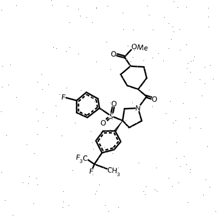 COC(=O)C1CCC(C(=O)N2CC[C@](c3ccc(C(C)(F)C(F)(F)F)cc3)(S(=O)(=O)c3ccc(F)cc3)C2)CC1